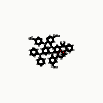 CC(C)(C)c1ccc(N2c3ccc(C(C)(C)C)cc3B3c4cc5c(cc4N(c4ccc(C(C)(C)C)cc4-c4ccccc4)c4cc(N(c6ccccc6)c6ccccc6)cc2c43)C(C)(C)c2ccccc2C5(C)C)cc1